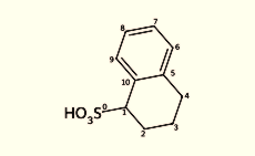 O=S(=O)(O)C1CCCc2ccccc21